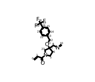 C=CC(=O)N1CCC(CN=C)(OCc2ccc(C(F)(F)F)cc2)C1